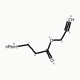 C#CCOC(=O)CCCCCCC